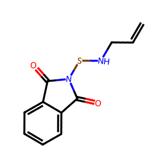 C=CCNSN1C(=O)c2ccccc2C1=O